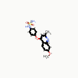 COc1ccc2c(Oc3ccc(NS(N)(=O)=O)cc3)cc(C)nc2c1